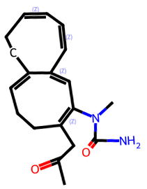 CC(=O)C/C1=C(N(C)C(N)=O)/C=C2/C=C\C=C/CCC2=CCC1